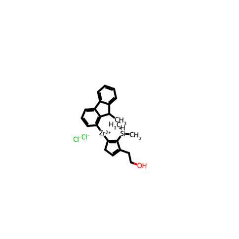 CC1c2ccccc2-c2ccc[c]([Zr+2][C]3=C([SiH](C)C)C(CCO)=CC3)c21.[Cl-].[Cl-]